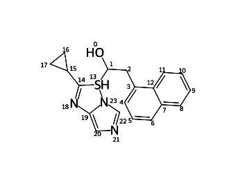 OC(Cc1cccc2ccccc12)[SH]1C(C2CC2)=Nc2cncn21